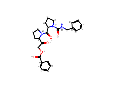 O=C(OCC(=O)C1CCCN1C(=O)C1CCCN1C(=O)NCc1ccccc1)c1ccccc1